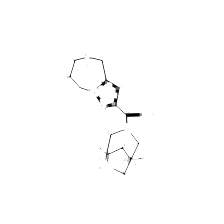 O=C(c1cc2n(n1)CCCNC2)N1C[C@@H]2CO[C@@H](C2)C1